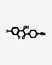 CC(C)(C)N1CCN(C(=O)C(O)c2ccc(F)cc2F)CC1